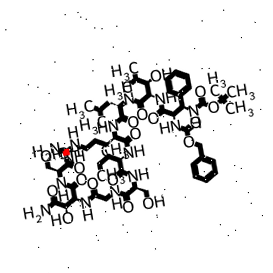 CC[C@H](C)[C@H](NC(=O)[C@@H](CCCNC(=N)N)NC(=O)[C@H](CC(C)C)NC(=O)[C@@H](NC(=O)[C@@H](NC(=O)OCc1ccccc1)[C@H](NC(=O)OC(C)(C)C)c1ccccc1)[C@H](O)C(C)C)C(=O)N[C@@H](CO)C(=O)NCC(=O)N[C@H](C(=O)N[C@@H](CO)C(=O)O)[C@H](O)C(N)=O